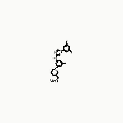 COCC1CCCN(c2cc(C)cc(Nc3ncn(-c4cc(F)cc(F)c4)n3)n2)C1